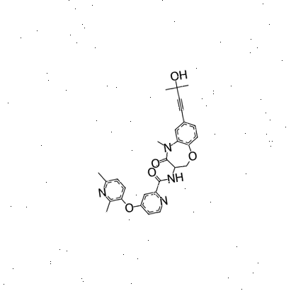 Cc1ccc(Oc2ccnc(C(=O)NC3COc4ccc(C#CC(C)(C)O)cc4N(C)C3=O)c2)c(C)n1